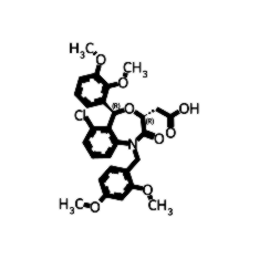 COc1ccc(CN2C(=O)[C@@H](CC(=O)O)O[C@H](c3cccc(OC)c3OC)c3c(Cl)cccc32)c(OC)c1